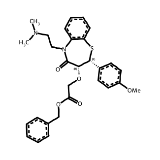 COc1ccc([C@H]2Sc3ccccc3N(CCN(C)C)C(=O)[C@H]2OCC(=O)OCc2ccccc2)cc1